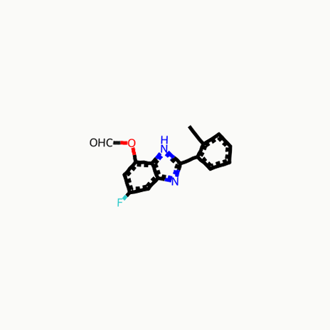 Cc1ccccc1-c1nc2cc(F)cc(OC=O)c2[nH]1